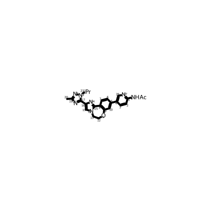 CC(=O)Nc1ccc(-c2ccc3c(c2)OCCn2cc(-c4nc(C)nn4C(C)C)nc2-3)cn1